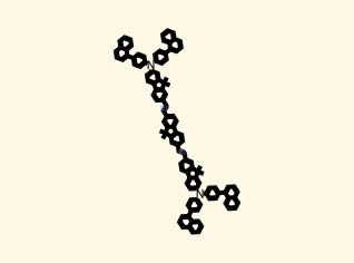 CC1(C)c2cc(/C=C/c3ccc4c(c3)C(C)(C)c3cc(N(c5ccc(-c6cccc7ccccc67)cc5)c5ccc(-c6cccc7ccccc67)cc5)ccc3-4)ccc2-c2ccc(/C=C/c3ccc4c(c3)C(C)(C)c3cc(N(c5ccc(-c6cccc7ccccc67)cc5)c5ccc(-c6cccc7ccccc67)cc5)ccc3-4)cc21